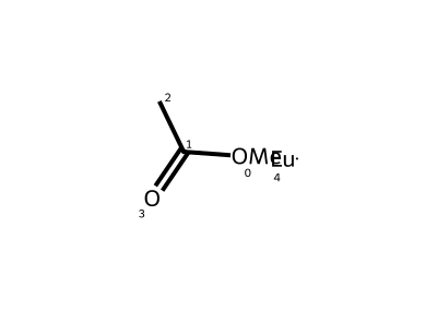 COC(C)=O.[Eu]